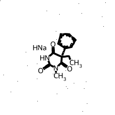 CCC1(c2ccccc2)C(=O)NC(=O)N(C)C1=O.[NaH]